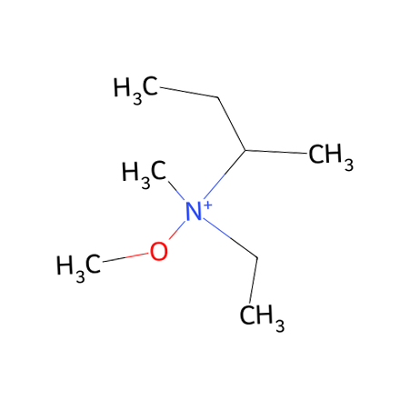 CCC(C)[N+](C)(CC)OC